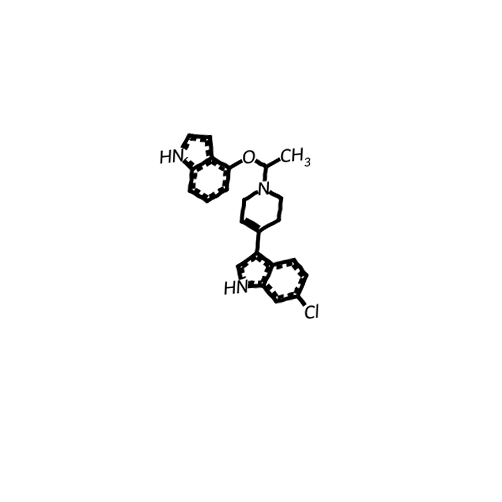 CC(Oc1cccc2[nH]ccc12)N1CC=C(c2c[nH]c3cc(Cl)ccc23)CC1